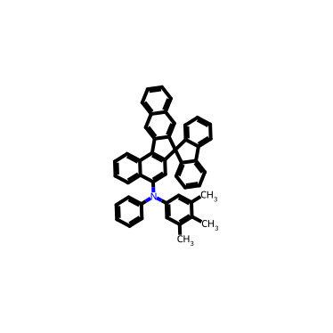 Cc1cc(N(c2ccccc2)c2cc3c(c4ccccc24)-c2cc4ccccc4cc2C32c3ccccc3-c3ccccc32)cc(C)c1C